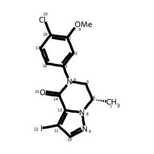 COc1cc(N2C[C@H](C)n3ncc(I)c3C2=O)ccc1Cl